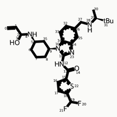 C=CC(O)N[C@@H]1CCC[C@H](n2c(NC(=O)c3ccc(C(F)F)s3)nc3cc(CN[C@@H](C)C(C)(C)C)ccc32)C1